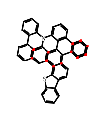 c1ccc(-c2ccccc2-c2c(-c3ccccc3)cccc2N(c2cccc(-c3cccc4c3sc3ccccc34)c2)c2ccccc2-c2ccccc2)cc1